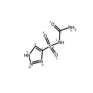 NC(=O)NS(=O)(=O)c1c[nH]nn1